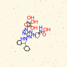 O=C(O)N[C@@H]1CCCN(c2nc(NCC(c3ccccc3)c3ccccc3)c3ncn([C@@H]4O[C@H](CO)[C@@H](O)[C@@H]4O)c3n2)C1